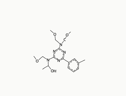 COCN(COC)c1nc(-c2cccc(C)c2)nc(N(COC)C(C)O)n1